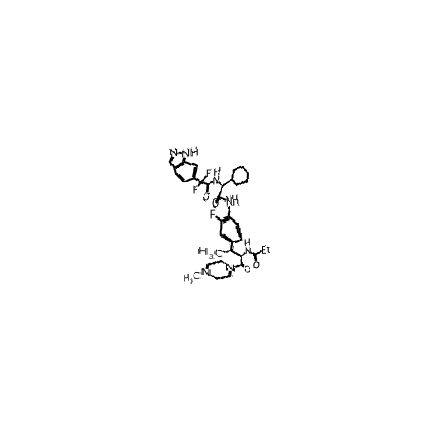 CCC(=O)N[C@@H](C(=O)N1CCN(C)CC1)[C@@H](C)c1ccc(NC(=O)[C@@H](NC(=O)C(F)(F)c2ccc3cn[nH]c3c2)C2CCCCC2)c(F)c1